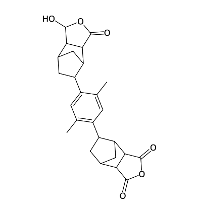 Cc1cc(C2CC3CC2C2C(=O)OC(O)C32)c(C)cc1C1CC2CC1C1C(=O)OC(=O)C21